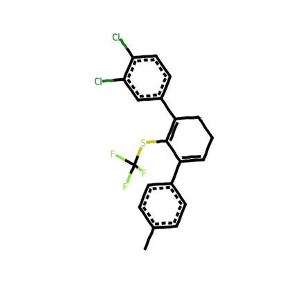 Cc1ccc(C2=CC[CH]C(c3ccc(Cl)c(Cl)c3)=C2SC(F)(F)F)cc1